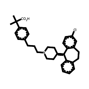 CC(C)(C(=O)O)c1ccc(CCCN2CCC(=C3c4ccccc4CCc4cc(Cl)ccc43)CC2)cc1